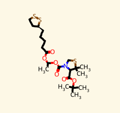 CC(OC(=O)CCCC[C@H]1CCSS1)OC(=O)N1CSC(C)(C)C1C(=O)OC(C)(C)C